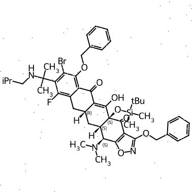 CC(C)CNC(C)(C)c1c(F)c2c(c(OCc3ccccc3)c1Br)C(=O)C1=C(O)[C@]3(O[Si](C)(C)C(C)(C)C)C(=O)c4c(OCc5ccccc5)noc4[C@@H](N(C)C)[C@@H]3C[C@@H]1C2